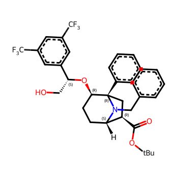 CC(C)(C)OC(=O)[C@@H]1C[C@@]2(c3ccccc3)[C@H](O[C@H](CO)c3cc(C(F)(F)F)cc(C(F)(F)F)c3)CC[C@@H]1N2Cc1ccccc1